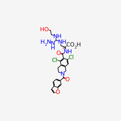 NNC(NCCO)NC[C@H](NC(=O)c1c(Cl)cc2c(c1Cl)CCN(C(=O)c1ccc3ccoc3c1)C2)C(=O)O